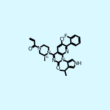 C=CC(=O)N1CCN(c2nc(=O)n(-c3c[nH]cc3C(C)C)c3nc(-c4ccccc4F)c(Cl)cc23)[C@@H](C)C1